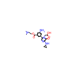 CN(C)CCOC(=O)c1cc(N)cc(-c2cnc(NC3CC3)c(=O)n2CC(=O)O)c1